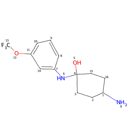 NC1CCC(O)(Nc2cccc(OC(F)(F)F)c2)CC1